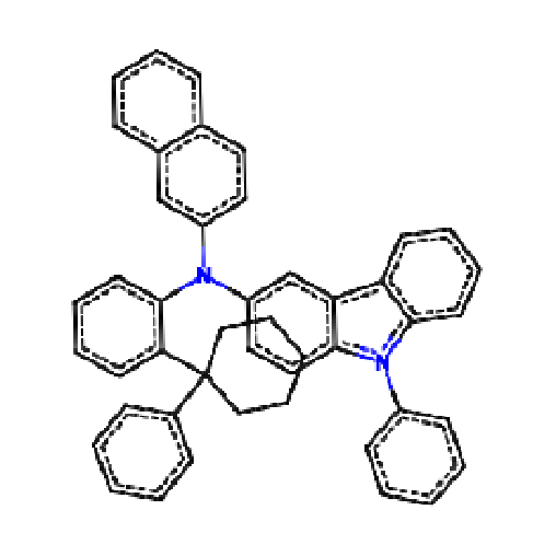 c1ccc(-n2c3ccccc3c3cc(N(c4ccc5ccccc5c4)c4ccccc4C4(c5ccccc5)CCCCC4)ccc32)cc1